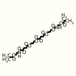 C=C(C)C(=O)OCCNC(=O)OCCCOC(=O)CCC(=O)C(=O)OCCCOC(=O)CCC(=O)C(=O)NCCOC(=O)C(=C)C